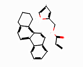 C=CC(=O)OCc1ccco1.c1ccc2c(c1)ccc1c3c(ccc12)CCCC3